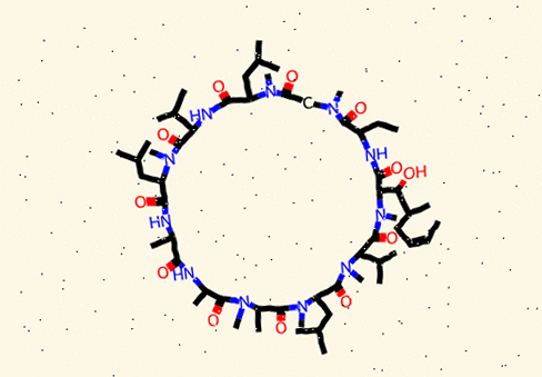 C/C=C\CC(C)C(O)C1C(=O)NC(CC)C(=O)N(C)CC(=O)N(C)C(CC(C)C)C(=O)NC(C(C)C)C(=O)N(C)C(CC(C)C)C(=O)NC(C)C(=O)NC(C)C(=O)N(C)C(C)C(=O)N(C)C(CC(C)C)C(=O)N(C)C(C(C)C)C(=O)N1C